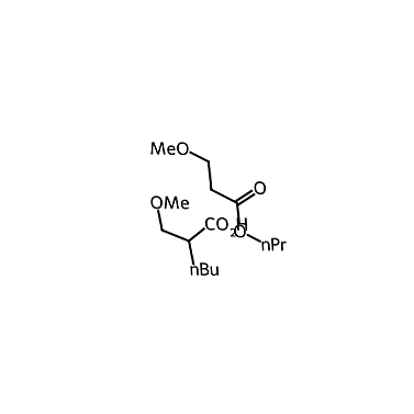 CCCCC(COC)C(=O)O.CCCOC(=O)CCOC